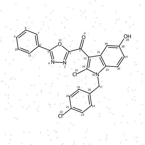 O=C(c1nnc(-c2ccccc2)o1)c1c(Cl)n(Cc2ccc(Cl)cc2)c2ccc(O)cc12